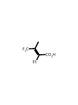 CC/C(C(=O)O)=C(/C)C(F)(F)F